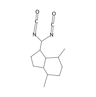 CC1CCC(C)C2C1CCC2C(N=C=O)N=C=O